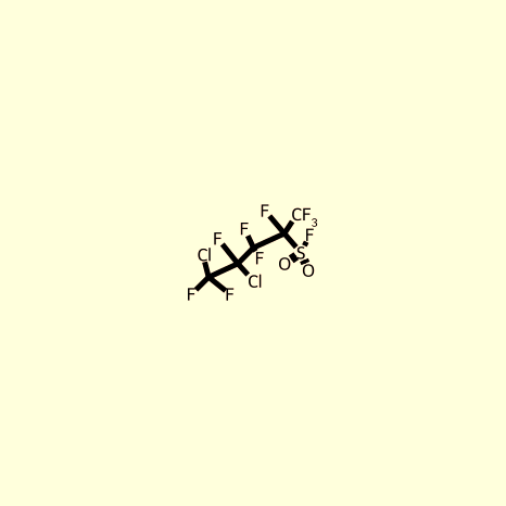 O=S(=O)(F)C(F)(C(F)(F)F)C(F)(F)C(F)(Cl)C(F)(F)Cl